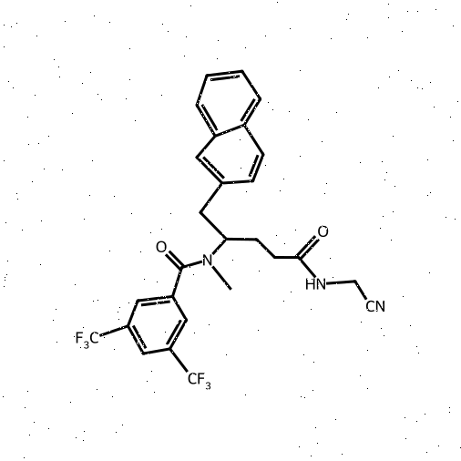 CN(C(=O)c1cc(C(F)(F)F)cc(C(F)(F)F)c1)C(CCC(=O)NCC#N)Cc1ccc2ccccc2c1